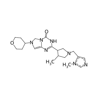 CC1CN(Cc2cncn2C)CC1C1=NC2=CN(C3CCOCC3)CN2C(=O)N1